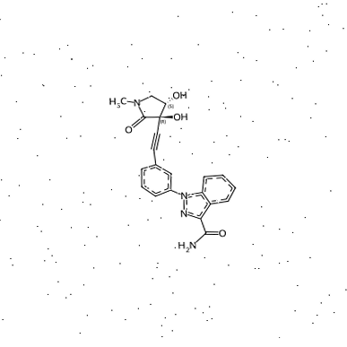 CN1C[C@H](O)[C@](O)(C#Cc2cccc(-n3nc(C(N)=O)c4ccccc43)c2)C1=O